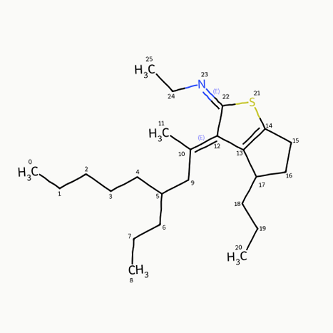 CCCCCC(CCC)C/C(C)=C1\C2=C(CCC2CCC)S\C1=N\CC